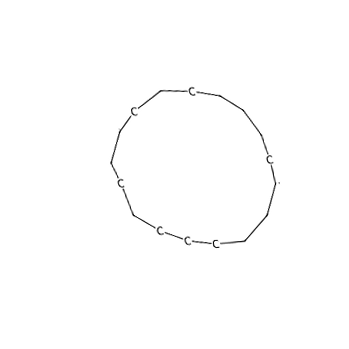 [CH]1CCCCCCC[CH]CCCCCCCC1